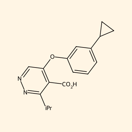 CC(C)c1nncc(Oc2cccc(C3CC3)c2)c1C(=O)O